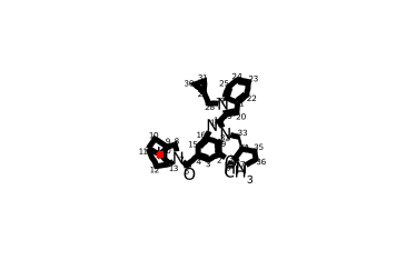 COc1cc(C(=O)N2CC3CC4CC2[C@H]43)cc2nc(-c3cc4ccccc4n3CC3CC3)n(C[C@H]3CCNC3)c12